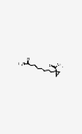 NC(=O)CCCCCCCC1(C(N)=O)CC1